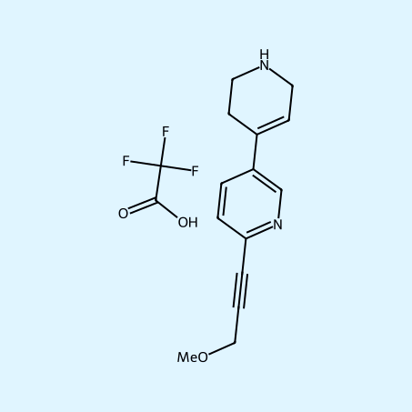 COCC#Cc1ccc(C2=CCNCC2)cn1.O=C(O)C(F)(F)F